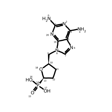 Nc1nc(N)c2ncn(C[C@H]3CC[C@@H](P(=O)(O)O)O3)c2n1